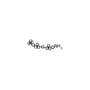 Nc1ccc(OC(=O)OCCOCCOC(=O)Oc2ccc([N+](=O)[O-])cc2)cc1